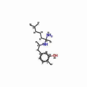 Cc1ccc(CC(C)NC(C)(N)CCCC(C)C)cc1O